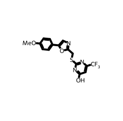 COc1ccc(-c2cnc(CSc3nc(O)cc(C(F)(F)F)n3)o2)cc1